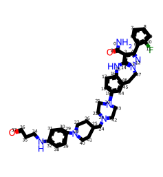 NC(=O)c1c(-c2ccccc2F)nn2c1Nc1ccc(N3CCN(CC4CCN(c5ccc(NCCC=O)cc5)CC4)CC3)cc1CC2